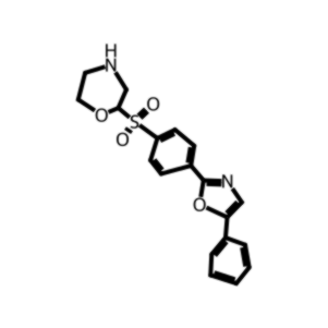 O=S(=O)(c1ccc(-c2ncc(-c3ccccc3)o2)cc1)C1CNCCO1